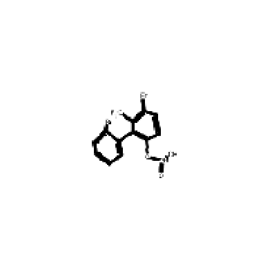 CCc1ccc(O[PH](=O)O)c(-c2ccccc2Br)c1C(F)(F)F